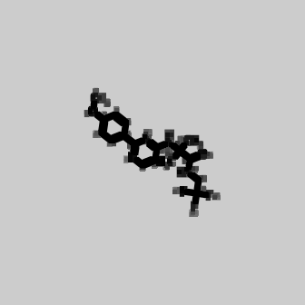 COc1ccc(-c2nccc(NC(C)(C)C(=O)NCC(F)(F)F)n2)cc1